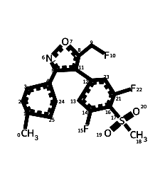 Cc1ccc(-c2noc(CF)c2-c2cc(F)c(S(C)(=O)=O)c(F)c2)cc1